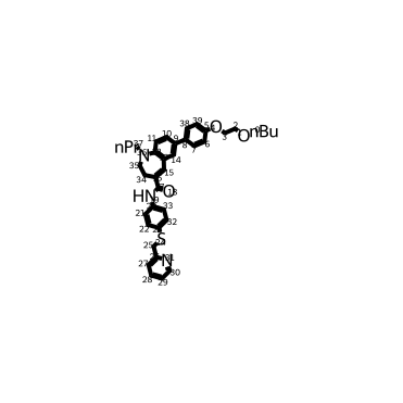 CCCCOCCOc1ccc(-c2ccc3c(c2)C=C(C(=O)Nc2ccc(SCc4ccccn4)cc2)CCN3CCC)cc1